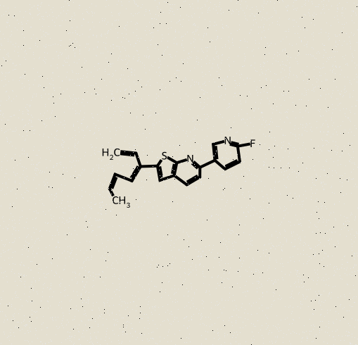 C=C/C(=C\C=C/C)c1cc2ccc(-c3ccc(F)nc3)nc2s1